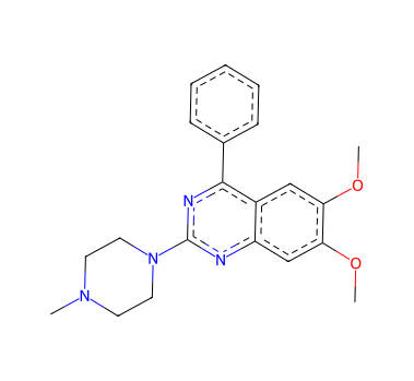 COc1cc2nc(N3CCN(C)CC3)nc(-c3ccccc3)c2cc1OC